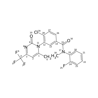 Cc1cc(C(F)(F)F)nc(=O)n1-c1cc(C(=O)N(C)c2ccccc2F)ccc1Cl